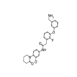 NCc1cccc(Oc2cccc(CC(=O)Nc3ccc(N4CCCCC4=O)c(Cl)c3)c2F)c1